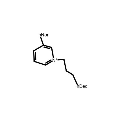 CCCCCCCCCCCCC[n+]1cccc(CCCCCCCCC)c1